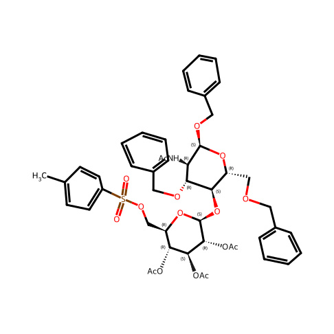 CC(=O)N[C@H]1[C@@H](OCc2ccccc2)O[C@H](COCc2ccccc2)[C@@H](O[C@@H]2O[C@H](COS(=O)(=O)c3ccc(C)cc3)[C@@H](OC(C)=O)[C@H](OC(C)=O)[C@H]2OC(C)=O)[C@@H]1OCc1ccccc1